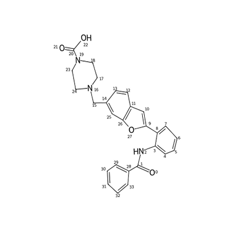 O=C(Nc1ccccc1-c1cc2ccc(CN3CCN(C(=O)O)CC3)cc2o1)c1ccccc1